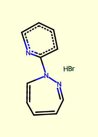 Br.C1=CC=NN(c2ccccn2)C=C1